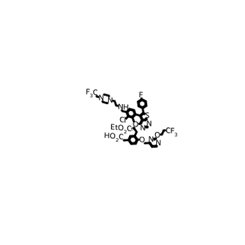 CCOC(=O)[C@@H](Cc1cc(CC(=O)O)ccc1OCc1ccnc(OCCC(F)(F)F)n1)Oc1ncnc2sc(-c3ccc(F)cc3)c(-c3ccc(CNCCN4CCN(CC(F)(F)F)CC4)c(Cl)c3C)c12